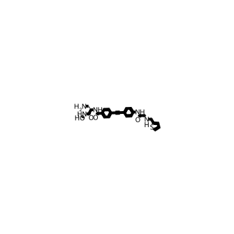 NC[C@H](NC(=O)c1ccc(C#Cc2ccc(NC(=O)CNCc3cccs3)cc2)cc1)C(=O)NO